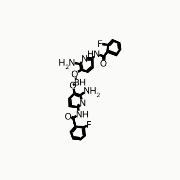 Nc1nc(NC(=O)c2ccccc2F)ccc1OBOc1ccc(NC(=O)c2ccccc2F)nc1N